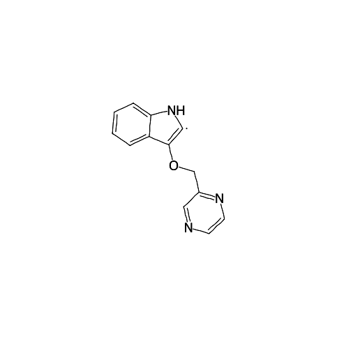 [c]1[nH]c2ccccc2c1OCc1cnccn1